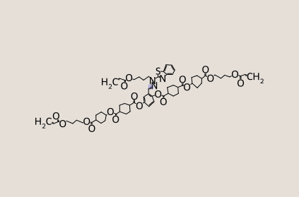 C=CC(=O)OCCCCOC(=O)C1CCC(OC(=O)C2CCC(C(=O)Oc3ccc(OC(=O)C4CCC(C(=O)OC5CCC(C(=O)OCCCCOC(=O)C=C)CC5)CC4)c(/C=N/N(CCCCOC(=O)C=C)c4nc5ccccc5s4)c3)CC2)CC1